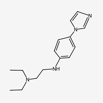 CCN(CC)CCNc1ccc(-n2ccnc2)cc1